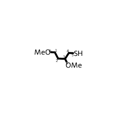 COCCC(CS)OC